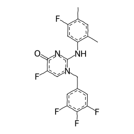 Cc1cc(C)c(Nc2nc(=O)c(F)cn2Cc2cc(F)c(F)c(F)c2)cc1F